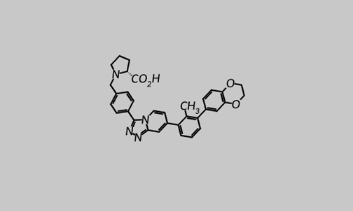 Cc1c(-c2ccc3c(c2)OCCO3)cccc1-c1ccn2c(-c3ccc(CN4CCC[C@@H]4C(=O)O)cc3)nnc2c1